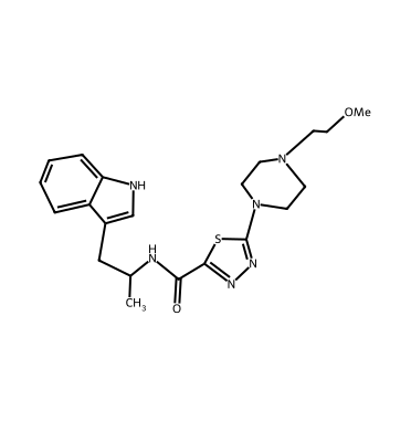 COCCN1CCN(c2nnc(C(=O)NC(C)Cc3c[nH]c4ccccc34)s2)CC1